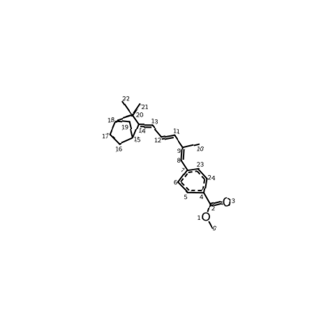 COC(=O)c1ccc(C=C(C)C=CC=C2C3CCC(C3)C2(C)C)cc1